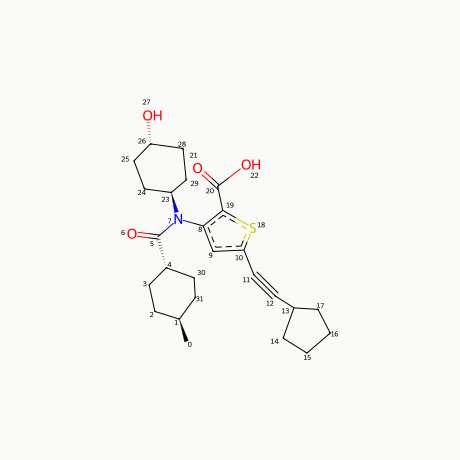 C[C@H]1CC[C@H](C(=O)N(c2cc(C#CC3CCCC3)sc2C(=O)O)[C@H]2CC[C@H](O)CC2)CC1